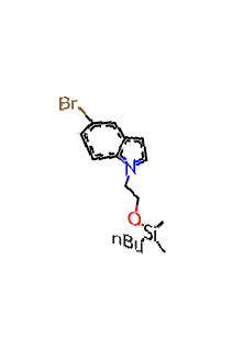 CCCC[Si](C)(C)OCCn1ccc2cc(Br)ccc21